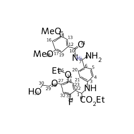 CCOC(=O)C(Nc1ccc(/C(N)=N/C(=O)c2cc(OC)cc(OC)c2)cc1)c1cc(OCC)c(OCCO)cc1F